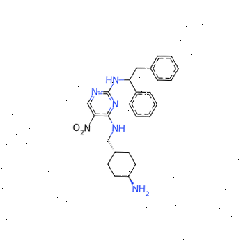 N[C@H]1CC[C@H](CNc2nc(NC(Cc3ccccc3)c3ccccc3)ncc2[N+](=O)[O-])CC1